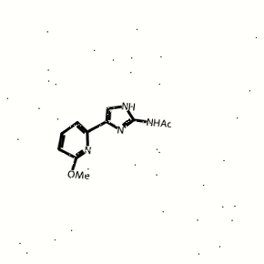 COc1cccc(-c2c[nH]c(NC(C)=O)n2)n1